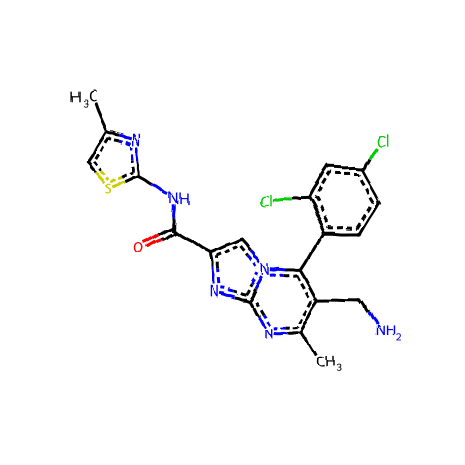 Cc1csc(NC(=O)c2cn3c(-c4ccc(Cl)cc4Cl)c(CN)c(C)nc3n2)n1